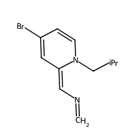 C=N/C=C1/C=C(Br)C=CN1CC(C)C